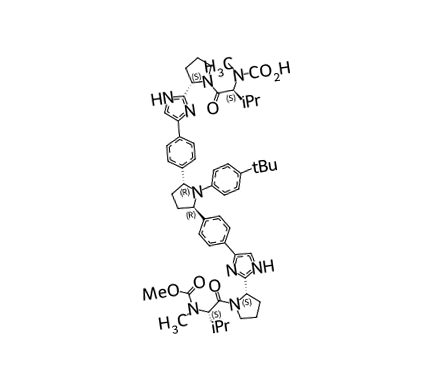 COC(=O)N(C)[C@H](C(=O)N1CCC[C@H]1c1nc(-c2ccc([C@H]3CC[C@H](c4ccc(-c5c[nH]c([C@@H]6CCCN6C(=O)[C@H](C(C)C)N(C)C(=O)O)n5)cc4)N3c3ccc(C(C)(C)C)cc3)cc2)c[nH]1)C(C)C